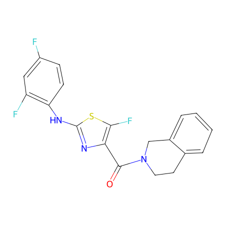 O=C(c1nc(Nc2ccc(F)cc2F)sc1F)N1CCc2ccccc2C1